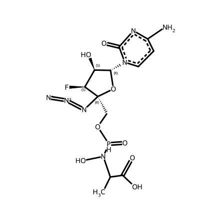 CC(C(=O)O)N(O)[PH](=O)OC[C@@]1(N=[N+]=[N-])O[C@@H](n2ccc(N)nc2=O)[C@H](O)[C@@H]1F